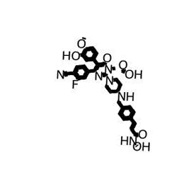 COc1ccc(-c2c(-c3ccc(C#N)c(F)c3)nc(N3CCC(NCc4ccc(/C=C/C(=O)NO)cc4)CC3)n(C)c2=O)cc1O.O=CO